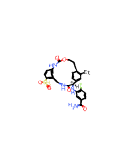 CCc1cc2ccc1CCOC(=O)Nc1ccc([SH](=O)=O)c(c1)CNC(=O)[C@@H]2Nc1cc(C(N)=O)ccc1F